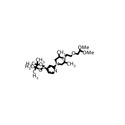 COC(COCCN1C(C)CN(c2cc(B3OC(C)(C)C(C)(C)O3)ccn2)CC1C)OC